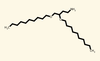 CCCCCCCCCCOCC(CCN)OCCCCCCCCCC